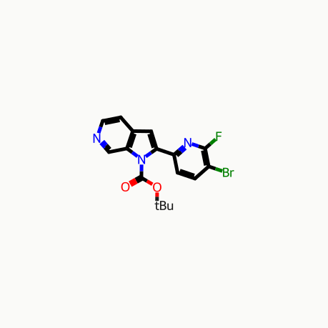 CC(C)(C)OC(=O)n1c(-c2ccc(Br)c(F)n2)cc2ccncc21